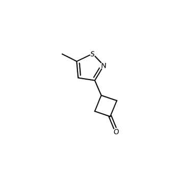 Cc1cc(C2CC(=O)C2)ns1